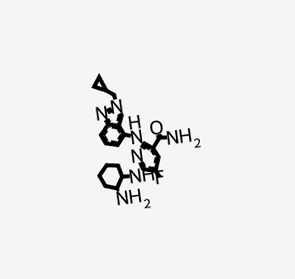 NC(=O)c1cc(F)c(NC2CCCC[C@@H]2N)nc1Nc1cccc2nn(CC3CC3)cc12